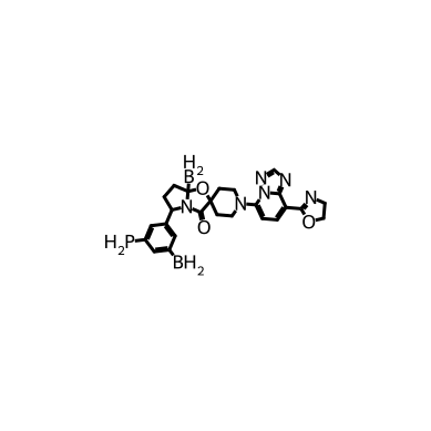 Bc1cc(P)cc(C2CCC3(B)OC4(CCN(c5ccc(C6=NCCO6)c6ncnn56)CC4)C(=O)N23)c1